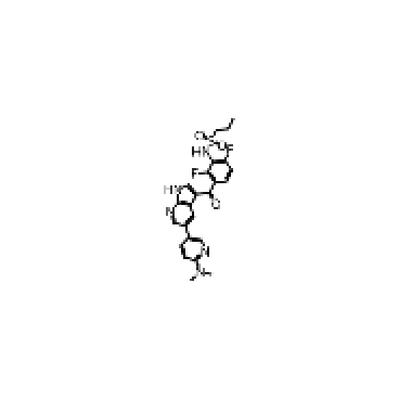 CCCS(=O)(=O)Nc1c(F)ccc(C(=O)c2c[nH]c3ncc(-c4ccc(N(C)C)nc4)cc23)c1F